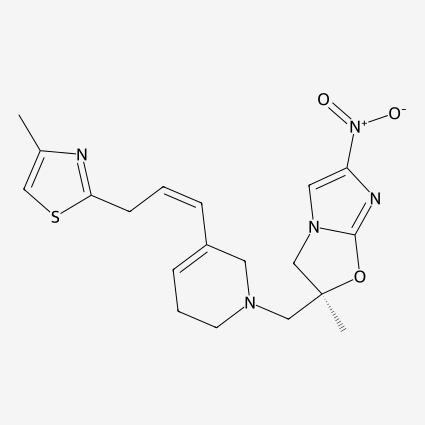 Cc1csc(C/C=C\C2=CCCN(C[C@@]3(C)Cn4cc([N+](=O)[O-])nc4O3)C2)n1